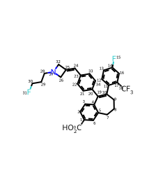 O=C(O)c1ccc2c(c1)CCCC(c1ccc(F)cc1C(F)(F)F)=C2c1ccc(C=C2CN(CCCF)C2)cc1